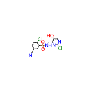 N#Cc1ccc(Cl)c(S(=O)(=O)NCc2nc(Cl)ncc2O)c1